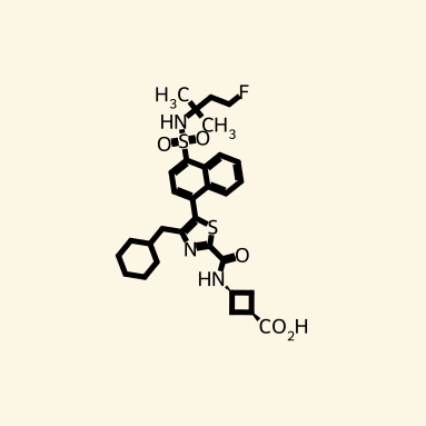 CC(C)(CCF)NS(=O)(=O)c1ccc(-c2sc(C(=O)N[C@H]3C[C@H](C(=O)O)C3)nc2CC2CCCCC2)c2ccccc12